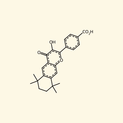 CC1(C)CCC(C)(C)c2cc3c(=O)c(O)c(-c4ccc(C(=O)O)cc4)oc3cc21